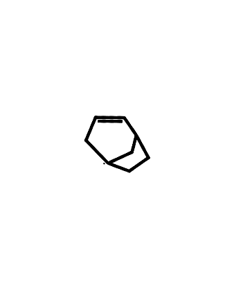 C1=CC2CC[C](C1)C2